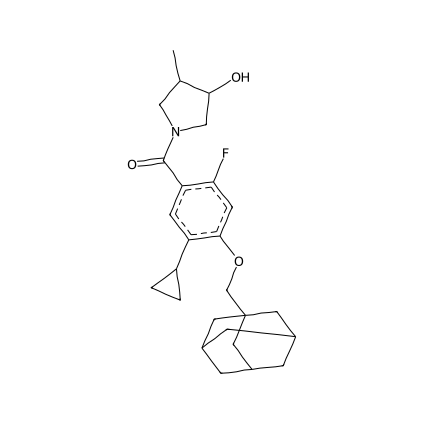 CC1CN(C(=O)c2cc(C3CC3)c(OCC34CC5CC(CC(C5)C3)C4)cc2F)CC1O